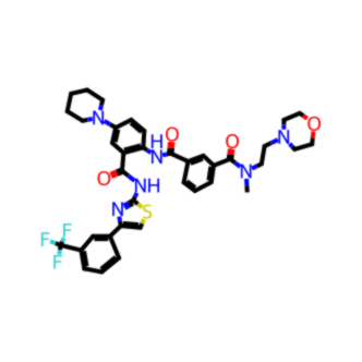 CN(CCN1CCOCC1)C(=O)c1cccc(C(=O)Nc2ccc(N3CCCCC3)cc2C(=O)Nc2nc(-c3cccc(C(F)(F)F)c3)cs2)c1